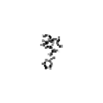 O=C(O)[C@@H]1[C@H]2CC=CC[C@H]2CN1C(=O)OCc1ccccc1